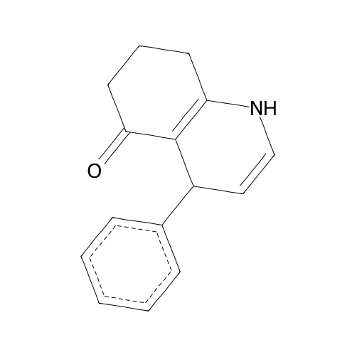 O=C1CCCC2=C1C(c1ccccc1)C=CN2